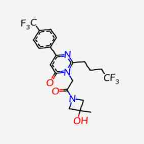 CC1(O)CN(C(=O)Cn2c(CCCC(F)(F)F)nc(-c3ccc(C(F)(F)F)cc3)cc2=O)C1